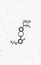 CC(CC(=O)O)c1ccc2c(c1)CCN(c1cc(OC(F)(F)F)ccc1F)CC2